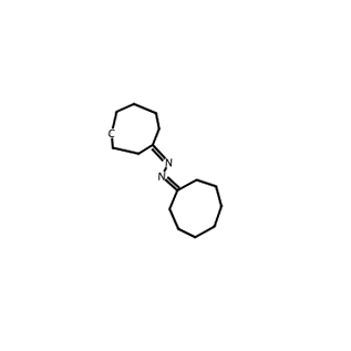 C1CCCC(=NN=C2CCCCCCC2)CCC1